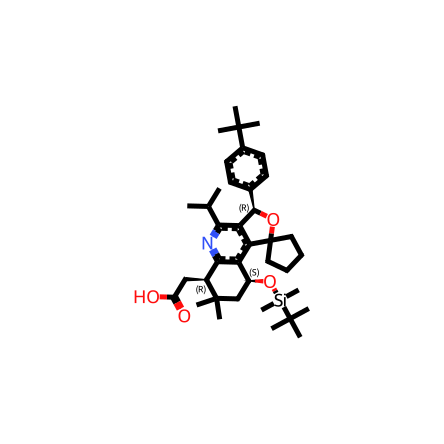 CC(C)c1nc2c(c3c1[C@@H](c1ccc(C(C)(C)C)cc1)OC31CCCC1)[C@@H](O[Si](C)(C)C(C)(C)C)CC(C)(C)[C@H]2CC(=O)O